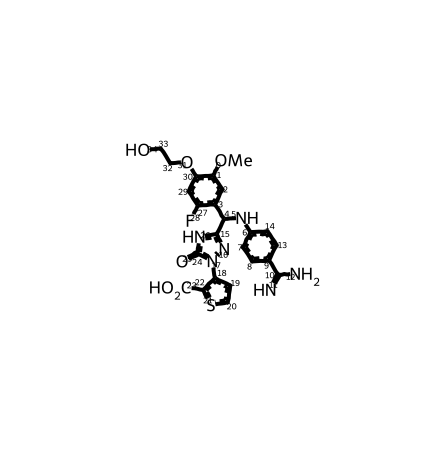 COc1cc(C(Nc2ccc(C(=N)N)cc2)c2nn(-c3ccsc3C(=O)O)c(=O)[nH]2)c(F)cc1OCCO